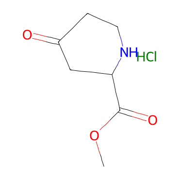 COC(=O)C1CC(=O)CCN1.Cl